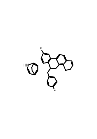 C1=CC2=CC=C(CC2)N1.Fc1ccc(CC2Cc3c(ccc4c3CCC=C4)-c3cc(F)ccc32)cc1